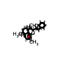 CC1=C(c2cc3ccccc3o2)O[C@@H]2O[C@]3(C)CC[C@H]4[C@H](C)CC[C@@H]1[C@@]24OO3